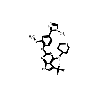 COc1cc(-c2nncn2C)ccc1Nc1nc(NC2CCOCC2)c2c(C(F)(F)F)c[nH]c2n1